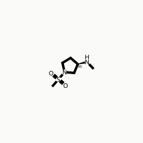 CN[C@@H]1CCN(S(C)(=O)=O)C1